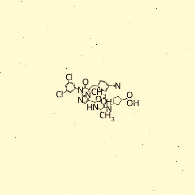 CC(NC(=O)c1cnc2n1C(C)(Cc1ccc(C#N)cc1)C(=O)N2c1cc(Cl)cc(Cl)c1)C(=O)N[C@@H]1CC[C@@H](C(=O)O)C1